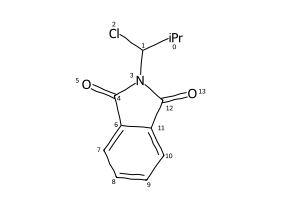 CC(C)C(Cl)N1C(=O)c2ccccc2C1=O